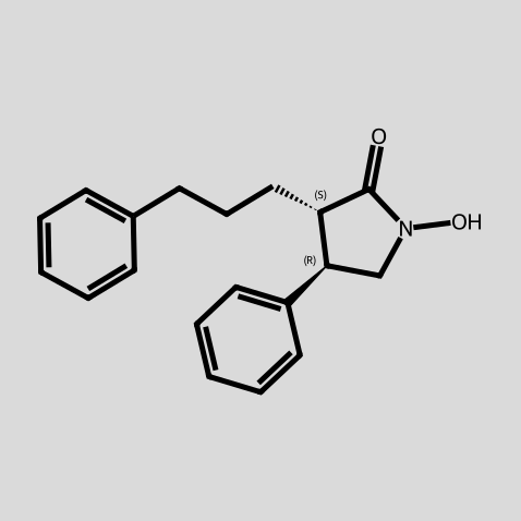 O=C1[C@@H](CCCc2ccccc2)[C@H](c2ccccc2)CN1O